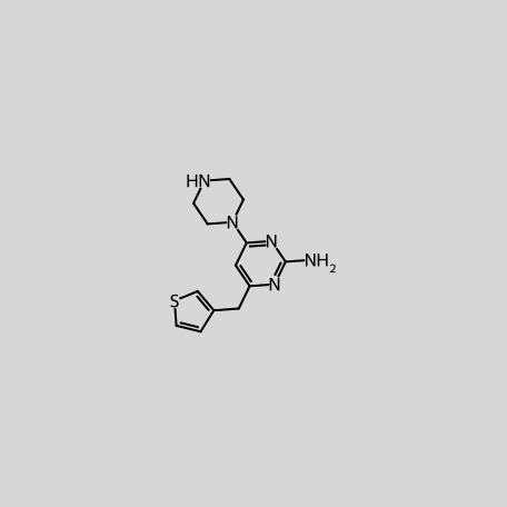 Nc1nc(Cc2ccsc2)cc(N2CCNCC2)n1